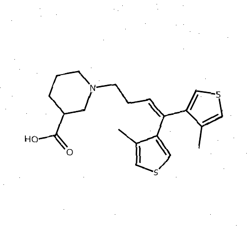 Cc1cscc1C(=CCCN1CCCC(C(=O)O)C1)c1cscc1C